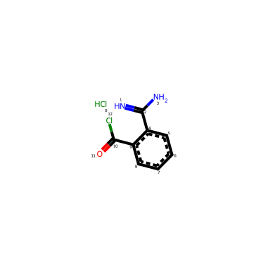 Cl.N=C(N)c1ccccc1C(=O)Cl